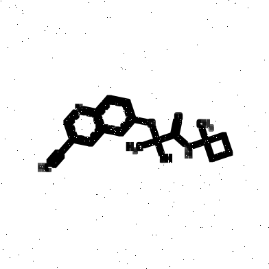 C#Cc1cnc2ccc(OC(C)(S)C(=O)NC3(C)CCC3)cc2c1